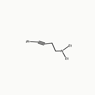 CCN(CC)CCC#CC(C)C